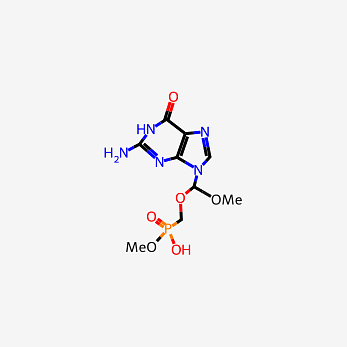 COC(OCP(=O)(O)OC)n1cnc2c(=O)[nH]c(N)nc21